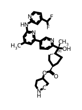 Cc1cc(Nc2cc(C(F)F)ccn2)nc(-c2ccc([C@](C)(O)[C@H]3CC[C@H](C(=O)OC4CCNCC4)CC3)nc2)c1